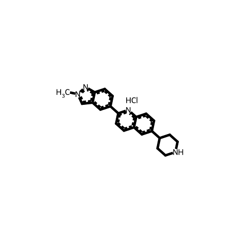 Cl.Cn1cc2cc(-c3ccc4cc(C5CCNCC5)ccc4n3)ccc2n1